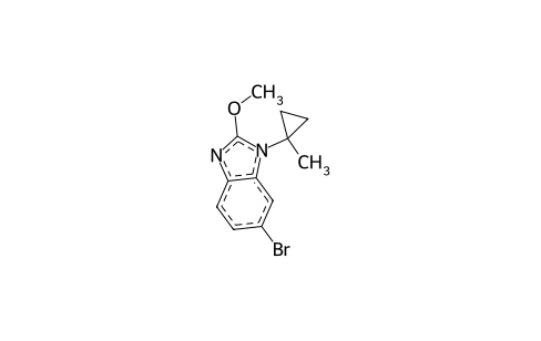 COc1nc2ccc(Br)cc2n1C1(C)CC1